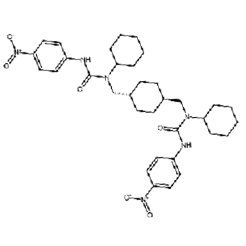 O=C(Nc1ccc([N+](=O)[O-])cc1)N(C[C@H]1CC[C@H](CN(C(=O)Nc2ccc([N+](=O)[O-])cc2)C2CCCCC2)CC1)C1CCCCC1